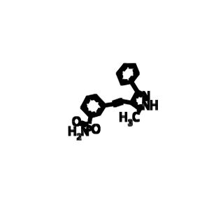 Cc1[nH]nc(-c2ccccc2)c1C#Cc1cccc(S(N)(=O)=O)c1